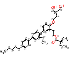 C=C(CC)C(=O)OCCC1=CC(c2ccc(-c3ccc(CCCCC)cc3)cc2CC)=CCC1OCCC(CO)CO